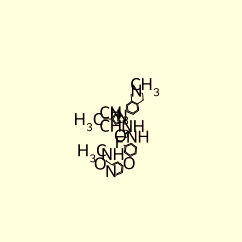 CNC(=O)c1cc(Oc2ccc(NC(=O)Nc3cc(C(C)(C)C)nn3-c3ccc4c(c3)CN(C)CC4)c(F)c2)ccn1